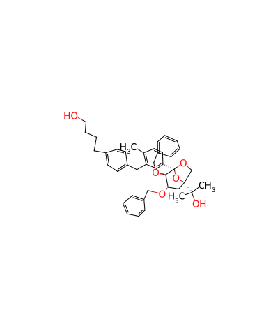 Cc1ccc([C@@]23OC[C@@](C(C)(C)O)(C[C@H](OCc4ccccc4)[C@H]2OCc2ccccc2)O3)cc1Cc1ccc(CCCCO)cc1